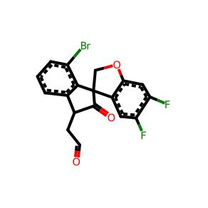 O=CCC1C(=O)C2(COc3cc(F)c(F)cc32)c2c(Br)cccc21